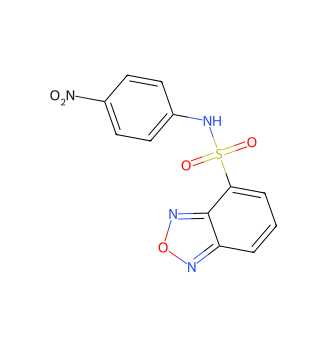 O=[N+]([O-])c1ccc(NS(=O)(=O)c2cccc3nonc23)cc1